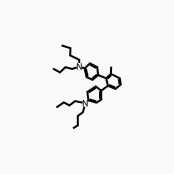 CCCCN(CCCC)c1ccc(-c2cccc(C)c2-c2ccc(N(CCCC)CCCC)cc2)cc1